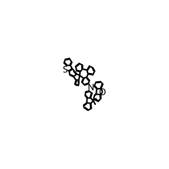 CC1(C)c2ccccc2-c2ccc(N(c3ccc4c(c3)-c3ccccc3-c3ccccc3C43c4ccccc4-c4cc5sc6ccccc6c5cc43)c3cccc4oc5ccccc5c34)cc21